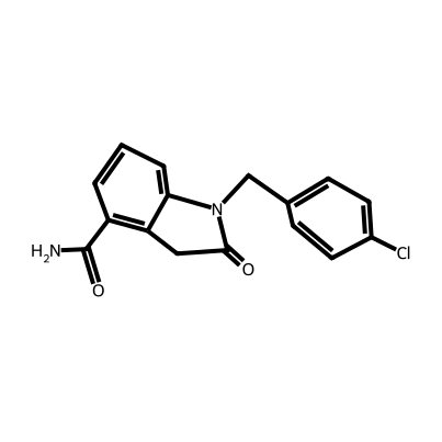 NC(=O)c1cccc2c1CC(=O)N2Cc1ccc(Cl)cc1